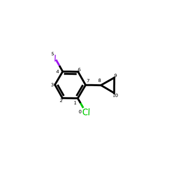 Clc1ccc(I)cc1C1CC1